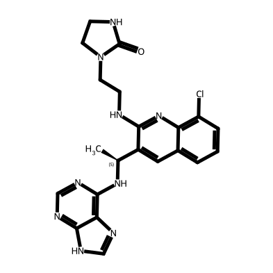 C[C@H](Nc1ncnc2[nH]cnc12)c1cc2cccc(Cl)c2nc1NCCN1CCNC1=O